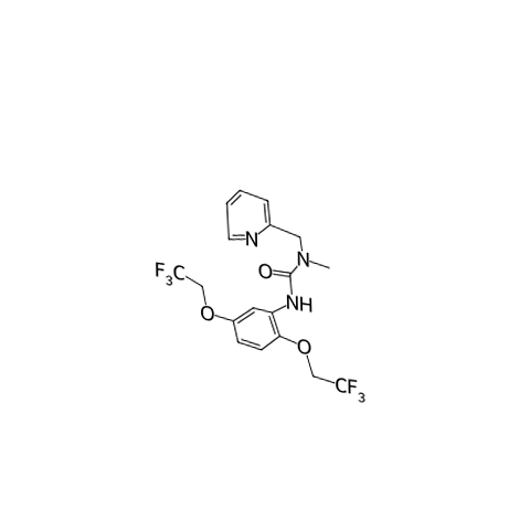 CN(Cc1ccccn1)C(=O)Nc1cc(OCC(F)(F)F)ccc1OCC(F)(F)F